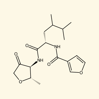 CC(C)C(C)C[C@H](NC(=O)c1ccoc1)C(=O)N[C@@H]1C(=O)CO[C@H]1C